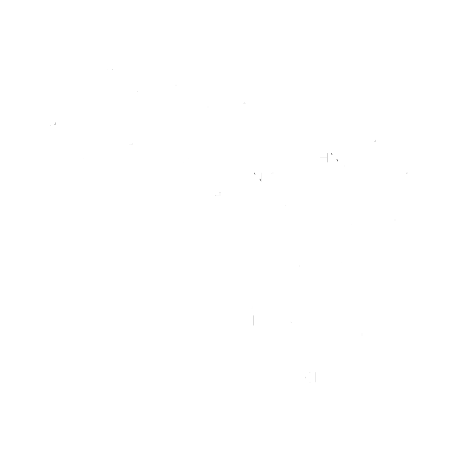 CC(C1NCCCC1c1ccc(Cl)c(Cl)c1)N1CCC(Cc2ccccc2)CC1